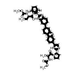 C=C[C@H](NC(=O)OC)C(=O)N1[C@@H]2CC[C@@H](C2)[C@H]1c1nc2ccc(-c3ccc4c(c3)sc3cc(-c5cnc([C@@H]6CCCN6C(=O)[C@H](C)NC(=O)OC)[nH]5)ccc34)cc2[nH]1